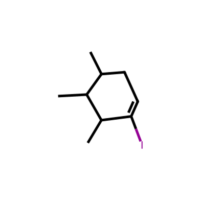 CC1CC=C(I)C(C)C1C